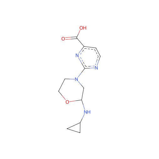 O=C(O)c1ccnc(N2CCOC(NC3CC3)C2)n1